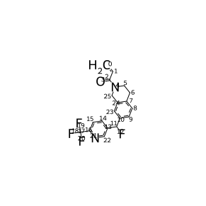 C=CC(=O)N1CCc2ccc(C(F)c3ccc(C(F)(F)F)nc3)cc2C1